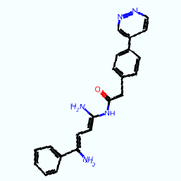 N/C(=C\C=C(/N)NC(=O)Cc1ccc(-c2ccnnc2)cc1)c1ccccc1